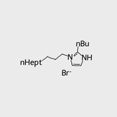 CCCCCCCCCC[n+]1cc[nH]c1CCCC.[Br-]